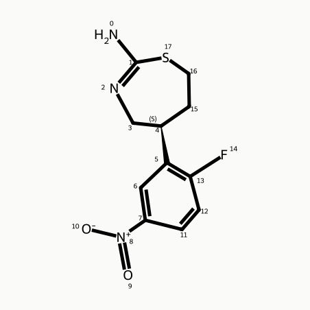 NC1=NC[C@H](c2cc([N+](=O)[O-])ccc2F)CCS1